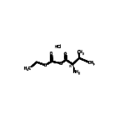 CCOC(=O)OC(=O)[C@@H](N)C(C)C.Cl